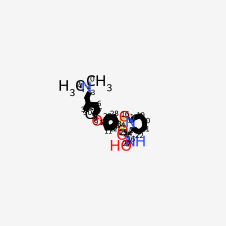 CN(C)CCc1ccc(Oc2ccc(S(=O)(=O)N3CCCCC[C@@H]3C(=O)NO)cc2)cc1